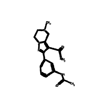 CC(=O)Nc1cccc(-c2nn3c(c2C(N)=O)CN(C)CC3)c1